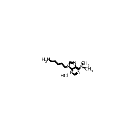 CN(C)c1ncnc2c1ncn2CCCCCN.Cl